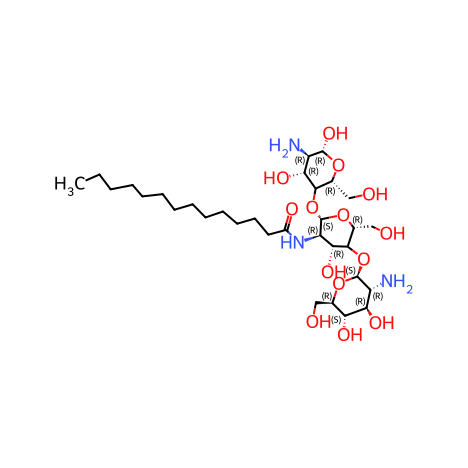 CCCCCCCCCCCCCC(=O)N[C@H]1[C@H](OC2[C@@H](CO)O[C@@H](O)[C@H](N)[C@H]2O)O[C@H](CO)C(O[C@@H]2O[C@H](CO)[C@@H](O)[C@H](O)[C@H]2N)[C@@H]1O